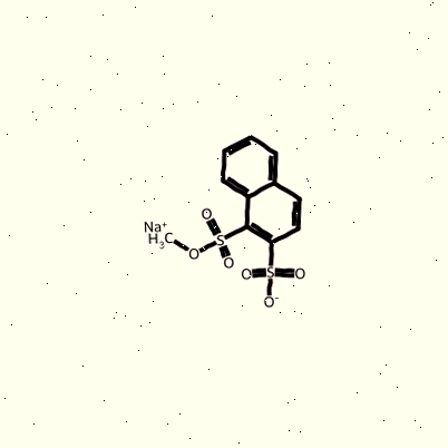 COS(=O)(=O)c1c(S(=O)(=O)[O-])ccc2ccccc12.[Na+]